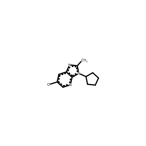 Cc1nc2cc(Cl)cnc2n1C1CCCC1